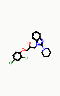 OC(COc1ccc(Cl)cc1Cl)Cn1c(N2CCCCC2)nc2ccccc21